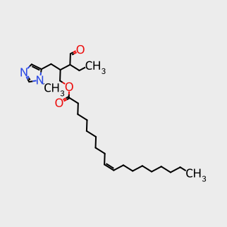 CCCCCCCC/C=C\CCCCCCCC(=O)OCC(Cc1cncn1C)C(C=O)CC